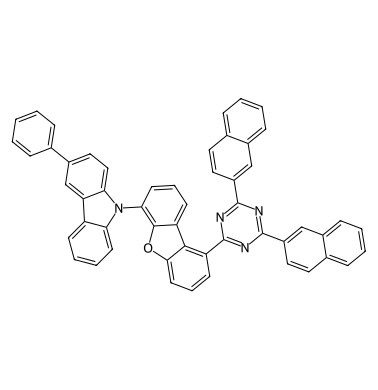 c1ccc(-c2ccc3c(c2)c2ccccc2n3-c2cccc3c2oc2cccc(-c4nc(-c5ccc6ccccc6c5)nc(-c5ccc6ccccc6c5)n4)c23)cc1